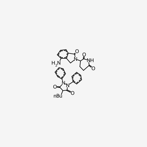 CCCCC1C(=O)N(c2ccccc2)N(c2ccccc2)C1=O.Nc1cccc2c1CN(C1CCC(=O)NC1=O)C2=O